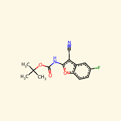 CC(C)(C)OC(=O)Nc1oc2ccc(F)cc2c1C#N